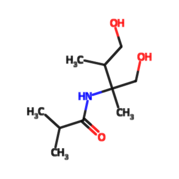 CC(C)C(=O)NC(C)(CO)C(C)CO